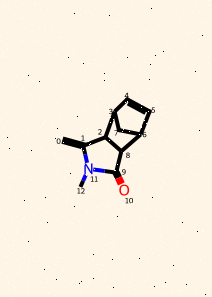 C=C1C2C3C=CC(C3)C2C(=O)N1C